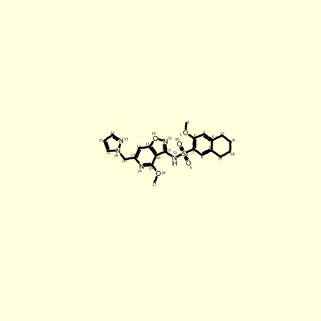 COc1cc2c(cc1S(=O)(=O)Nc1noc3cc(Cn4cccn4)nc(OC)c13)CCCC2